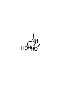 CNCO.CO.CO